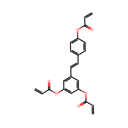 C=CC(=O)Oc1ccc(C=Cc2cc(OC(=O)C=C)cc(OC(=O)C=C)c2)cc1